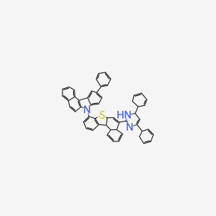 C1=CCC(C2=CC(C3C=CC=CC3)NC(C3=CC4Sc5c(cccc5-n5c6ccc(-c7ccccc7)cc6c6c7ccccc7ccc65)C4C4C=CC=CC34)=N2)C=C1